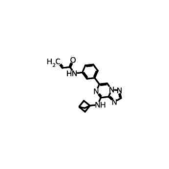 C=CC(=O)Nc1cccc(-c2cn3ncnc3c(NC34CC(C3)C4)n2)c1